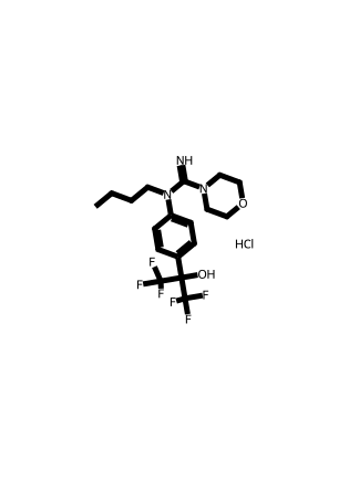 CCCCN(C(=N)N1CCOCC1)c1ccc(C(O)(C(F)(F)F)C(F)(F)F)cc1.Cl